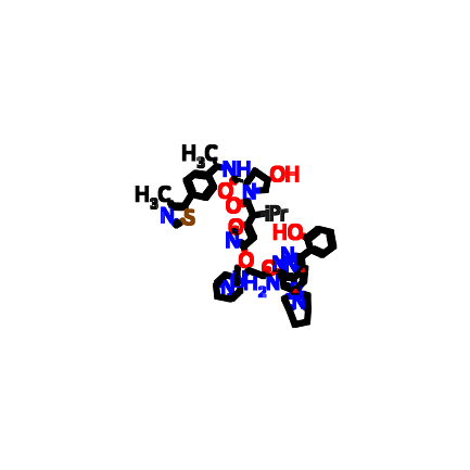 Cc1ncsc1-c1ccc([C@H](C)NC(=O)[C@@H]2C[C@@H](O)CN2C(=O)C(c2cc(OCCN3C4CC3CN(CCOc3cc(N5C6CCC5CN(c5cc(-c7ccccc7O)nnc5N)C6)ccn3)C4)no2)C(C)C)cc1